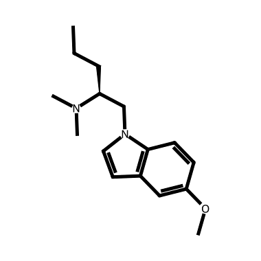 CCC[C@@H](Cn1ccc2cc(OC)ccc21)N(C)C